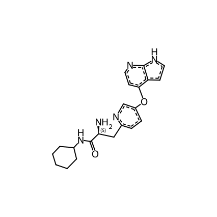 N[C@@H](Cc1ccc(Oc2ccnc3[nH]ccc23)cn1)C(=O)NC1CCCCC1